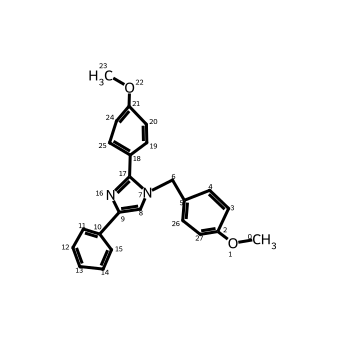 COc1ccc(Cn2cc(-c3ccccc3)nc2-c2ccc(OC)cc2)cc1